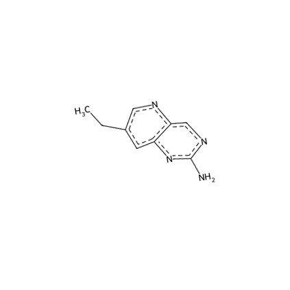 CCc1cnc2cnc(N)nc2c1